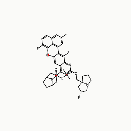 Cc1cc(-c2c(Cl)cc3c(N4CC5CCC(C4)N5C(=O)OC(C)(C)C)nc(OC[C@@]45CCCN4C[C@H](F)C5)nc3c2F)c2c(F)c(F)ccc2c1